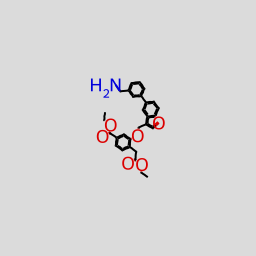 CCOC(=O)Cc1ccc(C(=O)OCC)cc1OCc1coc2ccc(-c3cccc(CN)c3)cc12